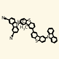 CC12C=C(C3=CC4C(C=C3)SC3C=CC(n5c6ccccc6c6ccccc65)=CC34)C=CC1SC1C=CC(n3c4ccc(C#N)cc4c4cc(C#N)ccc43)=CC12C